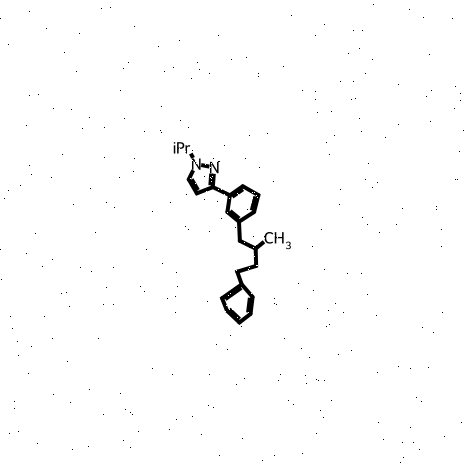 CC(CCc1ccccc1)Cc1cccc(-c2ccn(C(C)C)n2)c1